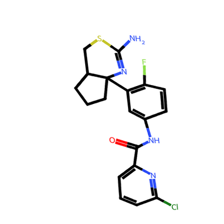 NC1=NC2(c3cc(NC(=O)c4cccc(Cl)n4)ccc3F)CCCC2CS1